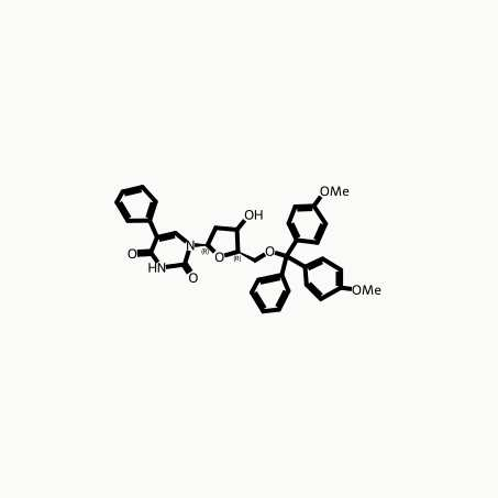 COc1ccc(C(OC[C@H]2O[C@@H](n3cc(-c4ccccc4)c(=O)[nH]c3=O)CC2O)(c2ccccc2)c2ccc(OC)cc2)cc1